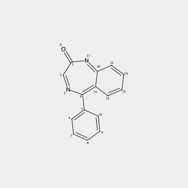 O=c1cnc(-c2ccccc2)c2ccccc2n1